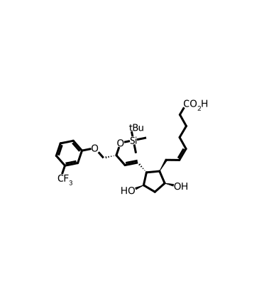 CC(C)(C)[Si](C)(C)O[C@H](/C=C/[C@@H]1[C@@H](C/C=C\CCCC(=O)O)[C@@H](O)C[C@H]1O)COc1cccc(C(F)(F)F)c1